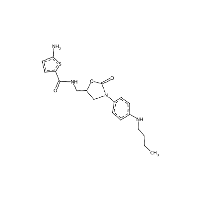 CCCCNc1ccc(N2CC(CNC(=O)c3ccc(N)s3)OC2=O)cc1